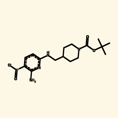 CC(C)(C)OC(=O)N1CCC(CNc2ccc([N+](=O)[O-])c(N)n2)CC1